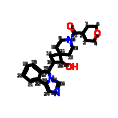 O=C(C1CCOCC1)N1CCC2(CC1)CC(C1c3ccccc3-c3cncn31)C2O